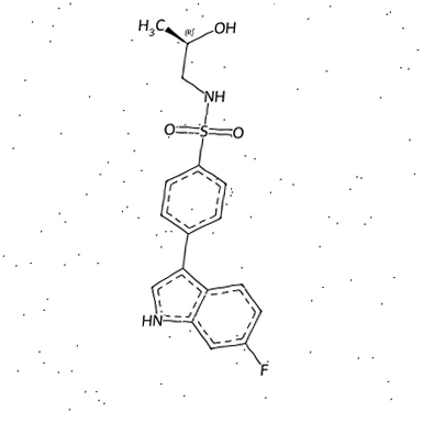 C[C@@H](O)CNS(=O)(=O)c1ccc(-c2c[nH]c3cc(F)ccc23)cc1